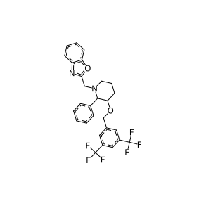 FC(F)(F)c1cc(COC2CCCN(Cc3nc4ccccc4o3)C2c2ccccc2)cc(C(F)(F)F)c1